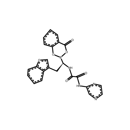 O=C(Nc1cnccn1)C(=O)N[C@@H](Cc1coc2ccccc12)B1OC(=O)c2ccccc2O1